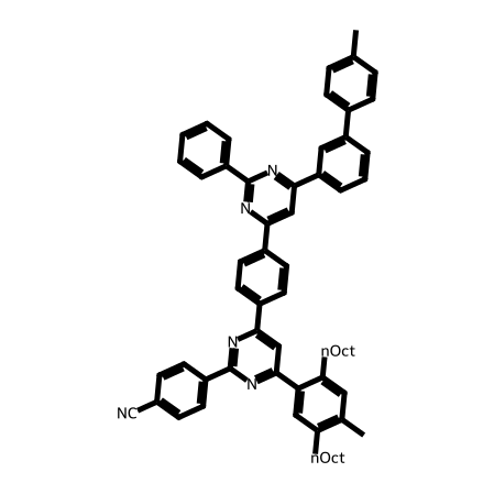 CCCCCCCCc1cc(-c2cc(-c3ccc(-c4cc(-c5cccc(-c6ccc(C)cc6)c5)nc(-c5ccccc5)n4)cc3)nc(-c3ccc(C#N)cc3)n2)c(CCCCCCCC)cc1C